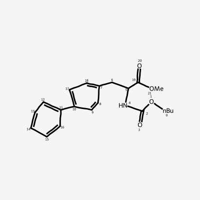 CCCCOC(=O)NC(Cc1ccc(-c2ccccc2)cc1)C(=O)OC